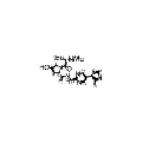 CN[C@H](C(=O)N1C[C@H](O)C[C@H]1C(=O)NCc1ncc(-c2scnc2C)cn1)C(C)(C)C